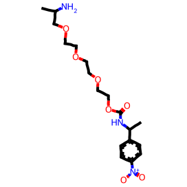 CC(N)COCCOCCOCCOC(=O)NC(C)c1ccc([N+](=O)[O-])cc1